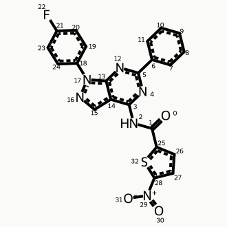 O=C(Nc1nc(-c2ccccc2)nc2c1cnn2-c1ccc(F)cc1)c1ccc([N+](=O)[O-])s1